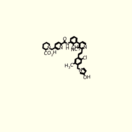 Cc1cc(C=Cc2nccc(-c3cccc(NC(=O)c4ccc(CN5CCCC[C@@H]5C(=O)O)cn4)c3C)c2C#N)c(Cl)cc1Cn1ccc(O)c1